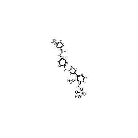 Nc1c(-c2cc(Cc3ccc(CNc4nc(Cl)cs4)cc3)no2)ccc[n+]1COP(=O)([O-])O